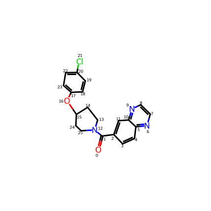 O=C(c1ccc2nccnc2c1)N1CCC(Oc2ccc(Cl)cc2)CC1